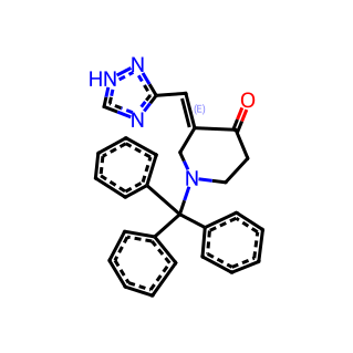 O=C1CCN(C(c2ccccc2)(c2ccccc2)c2ccccc2)C/C1=C\c1nc[nH]n1